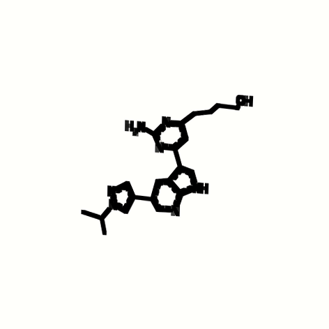 CC(C)n1cc(-c2cnc3[nH]cc(-c4cc(CCCCO)nc(N)n4)c3c2)cn1